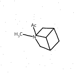 CC(=O)CC1C2CC1CN(C)C2